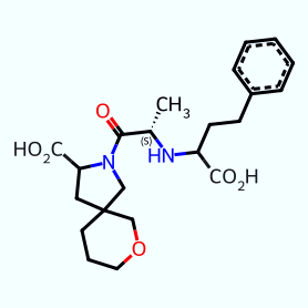 C[C@H](NC(CCc1ccccc1)C(=O)O)C(=O)N1CC2(CCCOC2)CC1C(=O)O